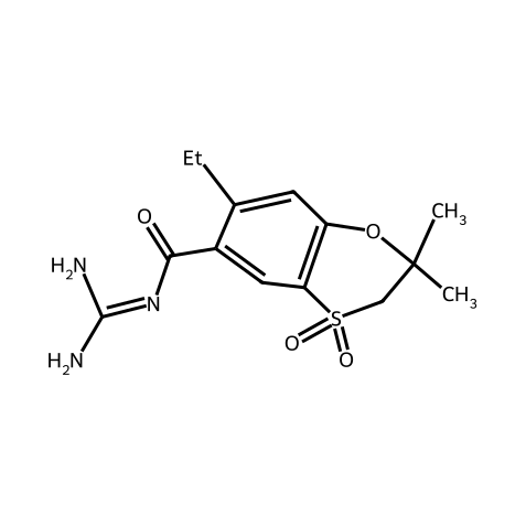 CCc1cc2c(cc1C(=O)N=C(N)N)S(=O)(=O)CC(C)(C)O2